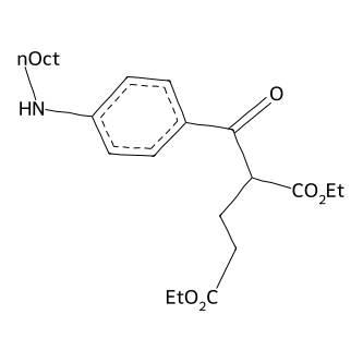 CCCCCCCCNc1ccc(C(=O)C(CCC(=O)OCC)C(=O)OCC)cc1